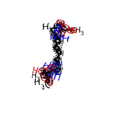 COCC[C@@H](C(=O)N1CCC[C@H]1c1nc2cc(-c3ccc4cc(-c5ccc6[nH]c([C@@H]7CCCN7C(=O)[C@@H](NC(=O)OC)C(C)CO)nc6c5)ccc4c3)ccc2[nH]1)N(C)C(=O)O